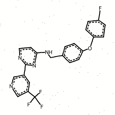 Fc1ccc(Oc2ccc(CNc3ccnc(-c4cncc(C(F)(F)F)c4)n3)cc2)cc1